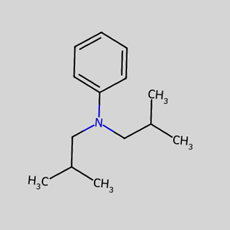 CC(C)CN(CC(C)C)c1ccccc1